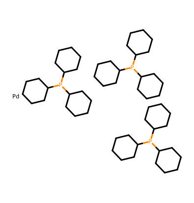 C1CCC(P(C2CCCCC2)C2CCCCC2)CC1.C1CCC(P(C2CCCCC2)C2CCCCC2)CC1.C1CCC(P(C2CCCCC2)C2CCCCC2)CC1.[Pd]